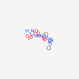 CC(=O)OC(C)C(NC(=O)CN1CC2(CCCN2C(=O)c2nnn(CC3CCCCC3)c2C)C1=O)C(N)=O